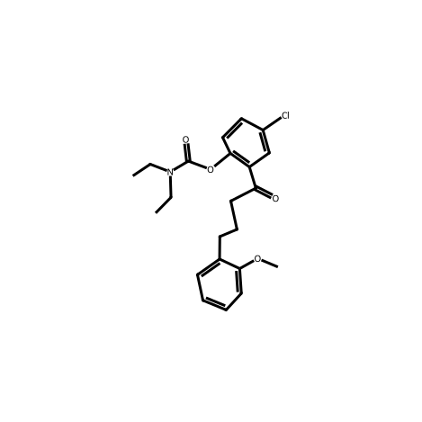 CCN(CC)C(=O)Oc1ccc(Cl)cc1C(=O)CCCc1ccccc1OC